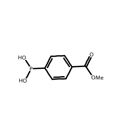 COC(=O)c1ccc(P(O)O)cc1